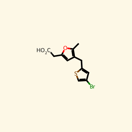 Cc1oc(CC(=O)O)cc1Cc1cc(Br)cs1